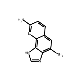 Nc1ccc2cc(N)c3nc[nH]c3c2n1